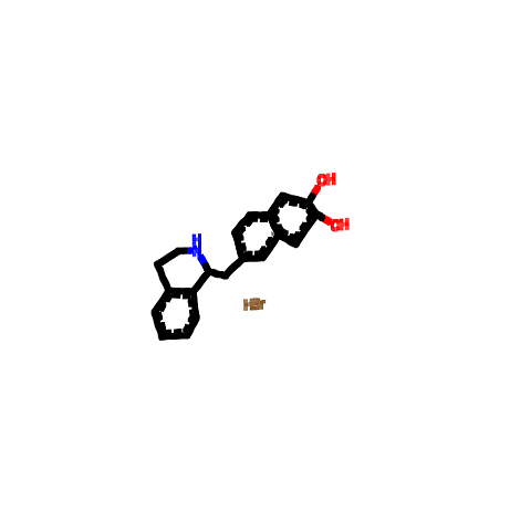 Br.Oc1cc2ccc(CC3NCCc4ccccc43)cc2cc1O